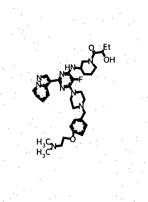 CCC(O)C(=O)N1CCCC(Nc2nc(-c3cnn4ccccc34)nc(N3CCN(Cc4ccc(OCCN(C)C)cc4)CC3)c2F)C1